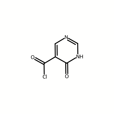 O=C(Cl)c1cnc[nH]c1=O